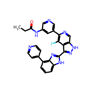 CCC(=O)Nc1cncc(-c2ncc3[nH]nc(-c4nc5c(-c6ccncc6)cccc5[nH]4)c3c2F)c1